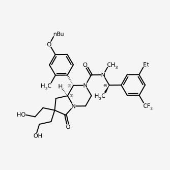 CCCCOc1ccc([C@H]2[C@@H]3CC(CCO)(CCO)C(=O)N3CCN2C(=O)N(C)[C@H](C)c2cc(CC)cc(C(F)(F)F)c2)c(C)c1